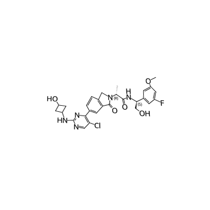 COc1cc(F)cc([C@@H](CO)NC(=O)[C@@H](C)N2Cc3ccc(-c4nc(NC5CC(O)C5)ncc4Cl)cc3C2=O)c1